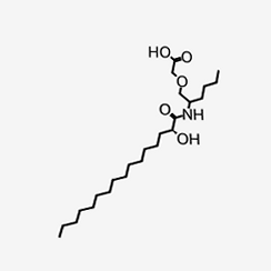 CCCCCCCCCCCCCC[C@H](O)C(=O)NC(CCCC)COCC(=O)O